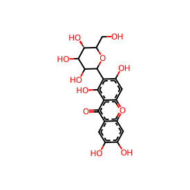 O=c1c2cc(O)c(O)cc2oc2cc(O)c(C3OC(CO)[C@H](O)C(O)C3O)c(O)c12